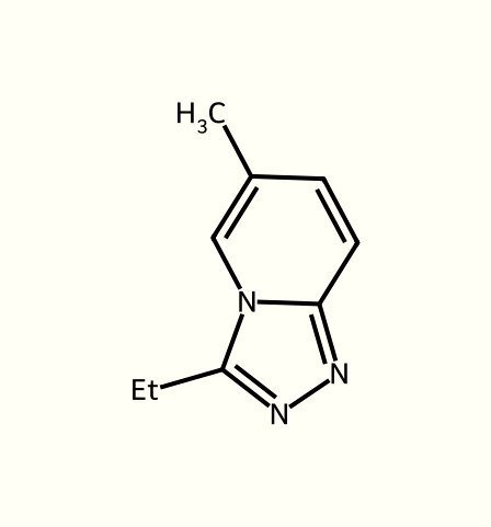 CCc1nnc2ccc(C)cn12